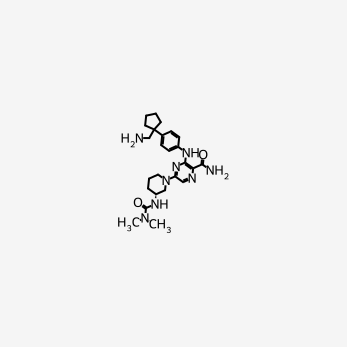 CN(C)C(=O)N[C@@H]1CCCN(c2cnc(C(N)=O)c(Nc3ccc(C4(CN)CCCC4)cc3)n2)C1